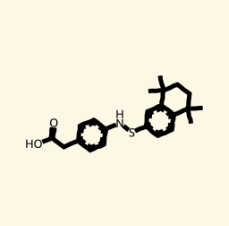 CC1(C)CCC(C)(C)c2cc(SNc3ccc(CC(=O)O)cc3)ccc21